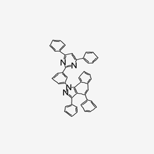 c1ccc(-c2cc(-c3ccccc3)nc(-c3cccc(-n4nc(-c5ccccc5)c5c(-c6ccccc6)cc6ccccc6c54)c3)n2)cc1